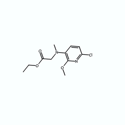 CCOC(=O)CN(C)c1ccc(Cl)nc1OC